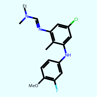 CCN(C)C=Nc1cc(Cl)cc(Nc2ccc(OC)c(F)c2)c1C